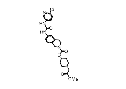 COC(=O)C[C@H]1CC[C@H](OC(=O)N2CCc3cc(NC(=O)Nc4ccc(Cl)nc4)ccc3C2)CC1